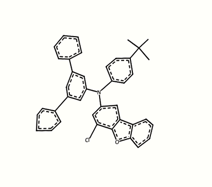 CC(C)(C)c1ccc(N(c2cc(-c3ccccc3)cc(-c3ccccc3)c2)c2cc(Cl)c3oc4ccccc4c3c2)cc1